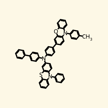 Cc1ccc(N2c3ccccc3Oc3cc(-c4ccc(N(c5ccc(-c6ccccc6)cc5)c5ccc6c(c5)Sc5ccccc5N6c5ccccc5)cc4)ccc32)cc1